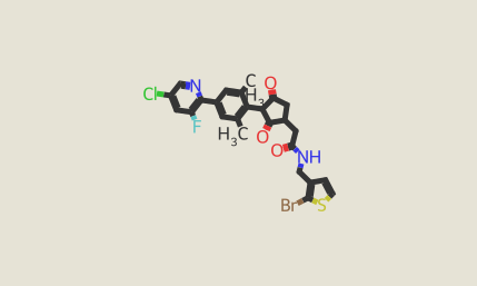 Cc1cc(-c2ncc(Cl)cc2F)cc(C)c1C1C(=O)CC(CC(=O)NCc2ccsc2Br)C1=O